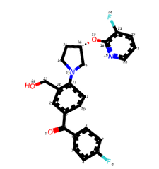 O=C(c1ccc(F)cc1)c1ccc(N2CC[C@H](Oc3ncccc3F)C2)c(CO)c1